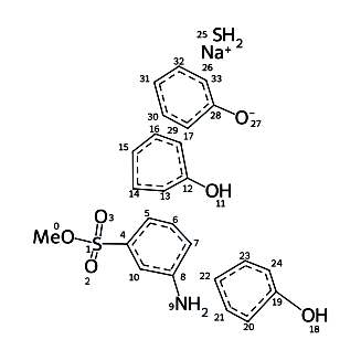 COS(=O)(=O)c1cccc(N)c1.Oc1ccccc1.Oc1ccccc1.S.[Na+].[O-]c1ccccc1